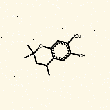 CC1CC(C)(C)Oc2cc(C(C)(C)C)c(O)cc21